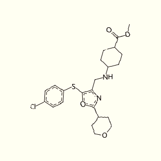 COC(=O)C1CCC(NCc2nc(C3CCOCC3)oc2Sc2ccc(Cl)cc2)CC1